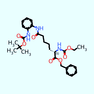 CCOC(=O)N[C@@H](CCCCC(=O)Nc1ccccc1NC(=O)OC(C)(C)C)C(=O)OCc1ccccc1